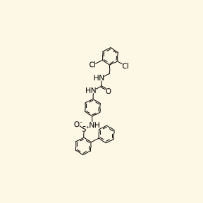 O=C(NCc1c(Cl)cccc1Cl)Nc1ccc(N[S+]([O-])c2ccccc2-c2ccccc2)cc1